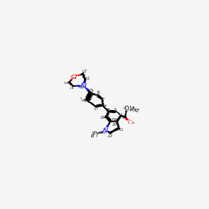 COC(=O)c1cc(-c2ccc(N3CCOCC3)cc2)cc2c1ccn2C(C)C